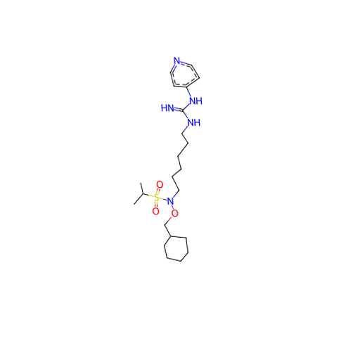 CC(C)S(=O)(=O)N(CCCCCCNC(=N)Nc1ccncc1)OCC1CCCCC1